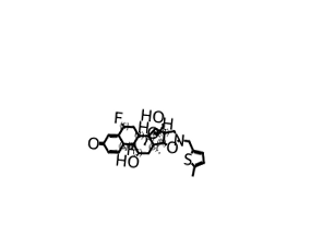 Cc1ccc(CN2C[C@@H]3C[C@@]4(C)[C@@H]5C[C@H](F)C6=CC(=O)C=C[C@]6(C)[C@@]5(F)[C@@H](O)C[C@]4(C)[C@]3(C(=O)CO)O2)s1